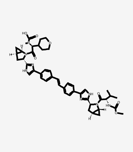 COC(=O)N[C@H](C(=O)N1[C@@H]2C[C@H]2C[C@H]1c1nc(-c2ccc(C=Cc3ccc(-c4c[nH]c([C@@H]5C[C@H]6C[C@H]6N5C(=O)[C@H](C5CCOCC5)N(C)C(=O)O)n4)cc3)cc2)c[nH]1)C(C)C